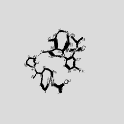 CC(=O)N1CCC([C@@H](C)N2CC[C@H](Cc3cn(-c4ccc(F)cc4S(=N)(=O)C(C)C)c4cncc(C)c34)C2)CC1